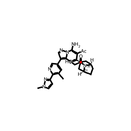 CC(=O)c1c([C@H]2C[C@H]3CC[C@@H](C2)N3C(=O)CO)nc2c(-c3cnc(-c4ccn(C)n4)c(C)c3)cnn2c1N